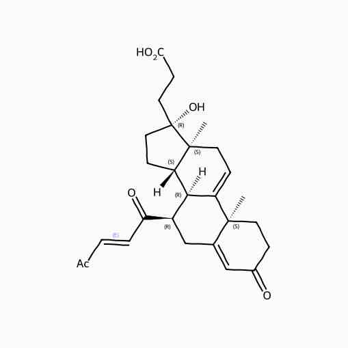 CC(=O)/C=C/C(=O)[C@@H]1CC2=CC(=O)CC[C@]2(C)C2=CC[C@@]3(C)[C@@H](CC[C@@]3(O)CCC(=O)O)[C@@H]21